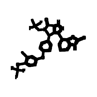 Cc1cc(Oc2ccc(C3c4c(-c5cccc6[nH]c(=O)oc56)n[nH]c4C(=O)N3CC(C)(F)F)cc2)ccc1OC(F)(F)F